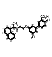 C[C@@H](NCCOc1cc(Cl)cc(-c2ccc(Cl)c(C(=O)O)c2)c1)c1cccc2ccccc12